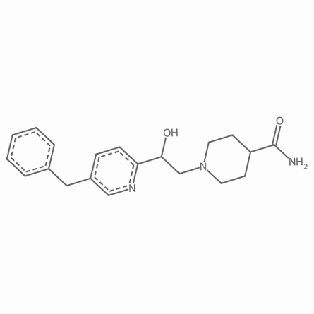 NC(=O)C1CCN(CC(O)c2ccc(Cc3ccccc3)cn2)CC1